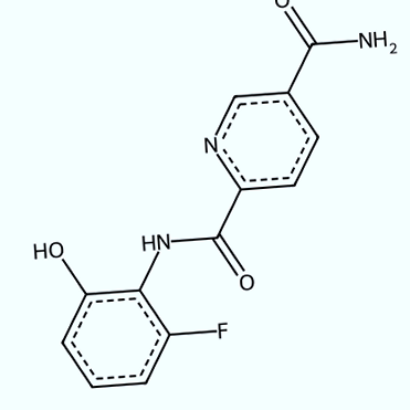 NC(=O)c1ccc(C(=O)Nc2c(O)cccc2F)nc1